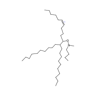 CCCCC/C=C\CCCC(ON(C)CCCC)C(CCCCCCCCCC)CCCCCCCCCC